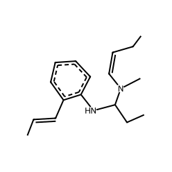 C/C=C/c1ccccc1NC(CC)N(C)/C=C\CC